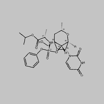 CC(C)OC(=O)[C@H](C)N[P@@](=O)(Oc1ccccc1)O[C@H]1[C@H]2O[C@@H](C)C[C@]1(CO)O[C@H]2n1ccc(=O)[nH]c1=O